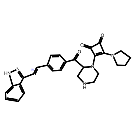 O=C(c1ccc(/C=C/c2n[nH]c3ccccc23)cc1)C1CNCCN1c1c(N2CCCC2)c(=O)c1=O